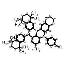 Cc1cc2c3c(c1)N(c1ccc4c(c1)C(C)(C)CCC4(C)C)c1cc4c(cc1B3c1cc3c(cc1N2c1ccc(C(C)(C)C)cc1)OCCO3)C(C)(C)CCC4(C)C